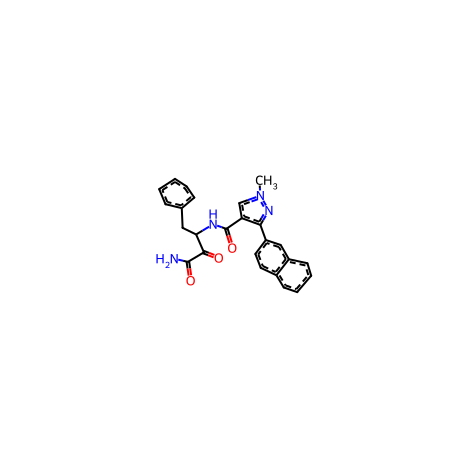 Cn1cc(C(=O)NC(Cc2ccccc2)C(=O)C(N)=O)c(-c2ccc3ccccc3c2)n1